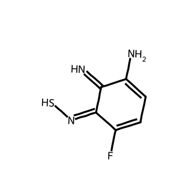 N=C1C(N)=CC=C(F)/C1=N/S